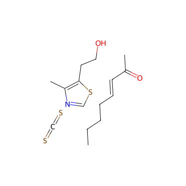 CCCCC=CC(C)=O.Cc1ncsc1CCO.S=C=S